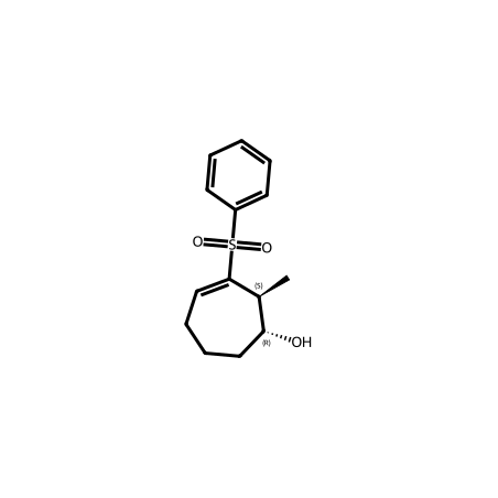 C[C@@H]1C(S(=O)(=O)c2ccccc2)=CCCC[C@H]1O